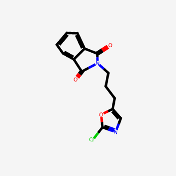 O=C1c2ccccc2C(=O)N1CCCc1cnc(Cl)o1